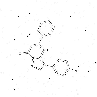 O=c1cc(-c2ccccc2)[nH]c2c(-c3ccc(F)cc3)cnn12